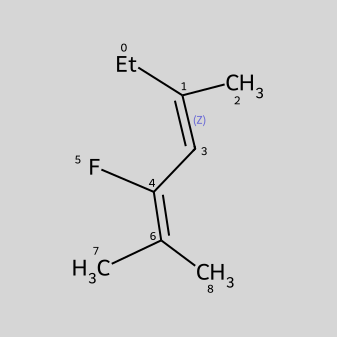 CC/C(C)=C\C(F)=C(C)C